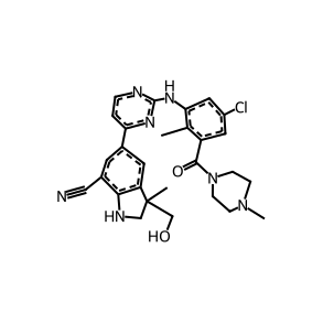 Cc1c(Nc2nccc(-c3cc(C#N)c4c(c3)C(C)(CO)CN4)n2)cc(Cl)cc1C(=O)N1CCN(C)CC1